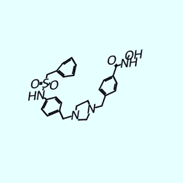 O=C(NO)c1ccc(CN2CCN(Cc3ccc(NS(=O)(=O)Cc4ccccc4)cc3)CC2)cc1